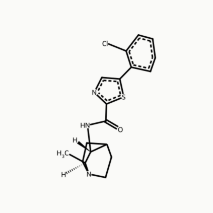 C[C@H]1[C@H](NC(=O)c2ncc(-c3ccccc3Cl)s2)C2CCN1CC2